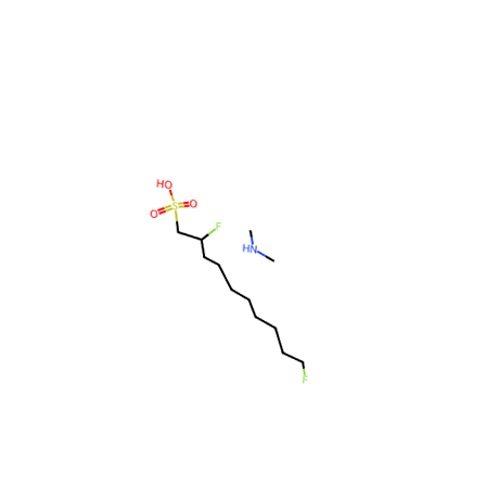 CNC.O=S(=O)(O)CC(F)CCCCCCCCF